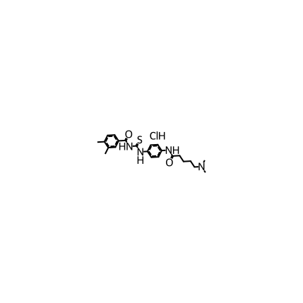 Cc1ccc(C(=O)NC(=S)Nc2ccc(NC(=O)CCCCN(C)C)cc2)cc1C.Cl